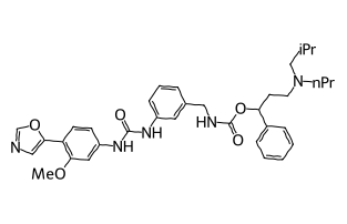 CCCN(CCC(OC(=O)NCc1cccc(NC(=O)Nc2ccc(-c3cnco3)c(OC)c2)c1)c1ccccc1)CC(C)C